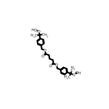 CC(C)(OO)c1ccc(COC(=O)CCCC(=O)OCc2ccc(C(C)(C)OO)cc2)cc1